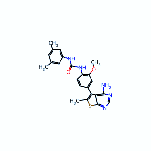 COc1cc(-c2c(C)sc3ncnc(N)c23)ccc1NC(=O)Nc1cc(C)cc(C)c1